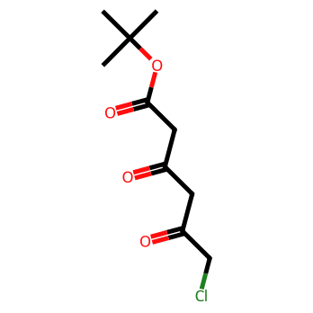 CC(C)(C)OC(=O)CC(=O)CC(=O)CCl